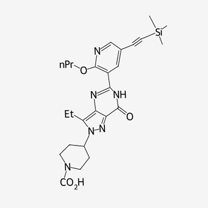 CCCOc1ncc(C#C[Si](C)(C)C)cc1-c1nc2c(CC)n(C3CCN(C(=O)O)CC3)nc2c(=O)[nH]1